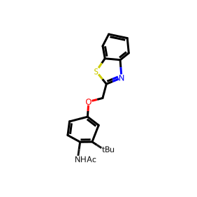 CC(=O)Nc1ccc(OCc2nc3ccccc3s2)cc1C(C)(C)C